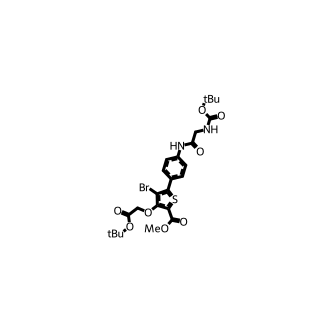 COC(=O)c1sc(-c2ccc(NC(=O)CNC(=O)OC(C)(C)C)cc2)c(Br)c1OCC(=O)OC(C)(C)C